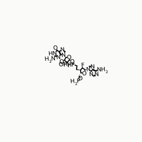 Nc1nc2c(ncn2[C@@H]2OC(OPCC[C@H]3[C@H](F)[C@H](n4cnc5c(N)ncnc54)O[C@@H]3COP)C(F)(F)[C@H]2OO)c(=O)[nH]1